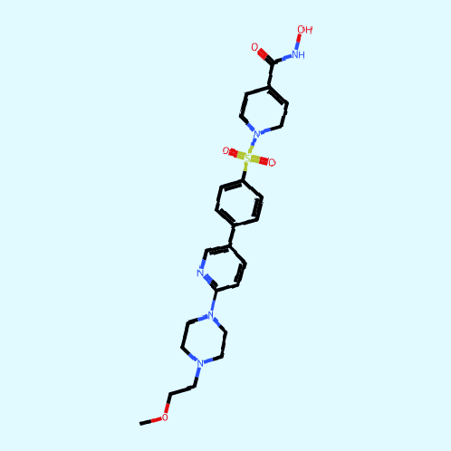 COCCN1CCN(c2ccc(-c3ccc(S(=O)(=O)N4CC=C(C(=O)NO)CC4)cc3)cn2)CC1